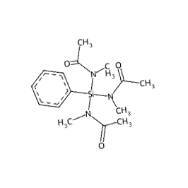 CC(=O)N(C)[Si](c1ccccc1)(N(C)C(C)=O)N(C)C(C)=O